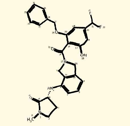 CN1CC[C@@H](Nc2cccc3c2CN(C(=O)c2c(O)cc(C(F)F)cc2OCc2ccccc2)C3)C1=O